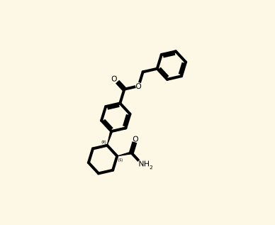 NC(=O)[C@H]1CCCC[C@H]1c1ccc(C(=O)OCc2ccccc2)cc1